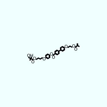 C=C(C)C(=O)OCCCOc1ccc(-c2ccc(C(=O)Oc3ccc(OCCCCOC(=O)C(C)(C)CO)cc3)cc2)cc1